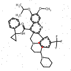 COc1cc2nc(-c3cccc(C(F)(F)F)c3)c(CN3CCC(N4CCCCC4)CC3)c(C(=O)NC3(c4ccccc4)CC3)c2cc1OC(C)C